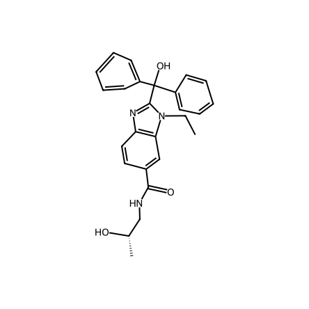 CCn1c(C(O)(c2ccccc2)c2ccccc2)nc2ccc(C(=O)NC[C@H](C)O)cc21